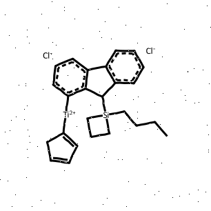 CCCC[Si]1(C2c3ccccc3-c3ccc[c]([Ti+2][C]4=CC=CC4)c32)CCC1.[Cl-].[Cl-]